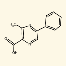 Cc1nc(-c2ccccc2)cnc1C(=O)O